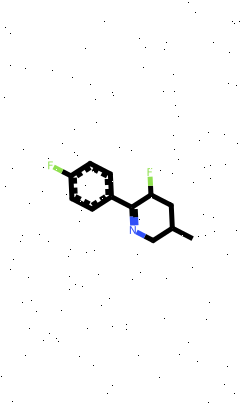 CC1CN=C(c2ccc(F)cc2)C(F)C1